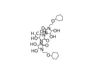 CC1(O)C(O)N(N2C(=O)N(CCOC3CCCCC3)C(O)C2O)C(=O)N1N1C(=O)N(CCOC2CCCCC2)C(O)C1O